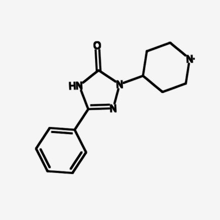 O=c1[nH]c(-c2ccccc2)nn1C1CC[N]CC1